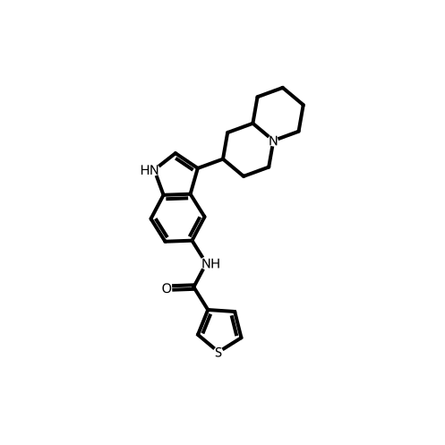 O=C(Nc1ccc2[nH]cc(C3CCN4CCCCC4C3)c2c1)c1ccsc1